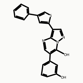 Oc1cccc(-c2cnc3c(-c4cc(-c5ccccc5)cs4)cnn3c2O)c1